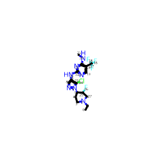 CCN1CCC(n2ncc(Nc3ncc(C(F)(F)F)c(NC)n3)c2Cl)C(F)C1